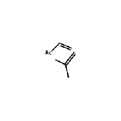 C=C(C)C.C=CC(C)=O